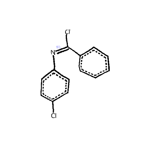 Cl/C(=N/c1ccc(Cl)cc1)c1ccccc1